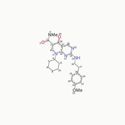 CNC(=O)c1cn(C2CCCCC2)c2nc(NCCc3ccc(OC)cc3)ncc2c1=O